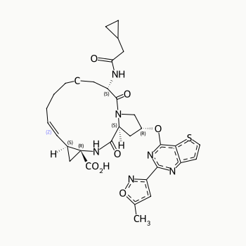 Cc1cc(-c2nc(O[C@@H]3C[C@H]4C(=O)N[C@]5(C(=O)O)C[C@H]5/C=C\CCCCC[C@H](NC(=O)CC5CC5)C(=O)N4C3)c3sccc3n2)no1